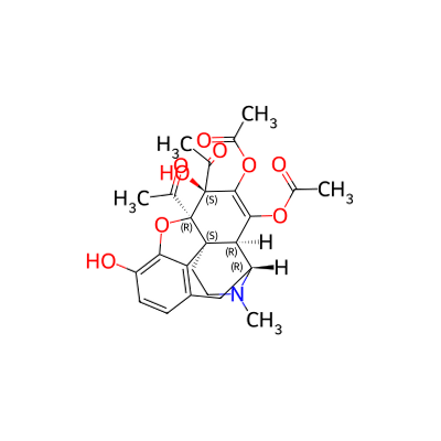 CC(=O)OC1=C(OC(C)=O)[C@@](O)(C(C)=O)[C@]2(C(C)=O)Oc3c(O)ccc4c3[C@@]23CCN(C)[C@H](C4)[C@H]13